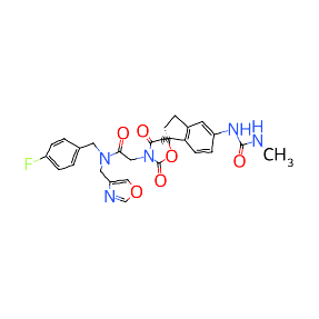 CNC(=O)Nc1ccc2c(c1)CC[C@@]21OC(=O)N(CC(=O)N(Cc2ccc(F)cc2)Cc2cocn2)C1=O